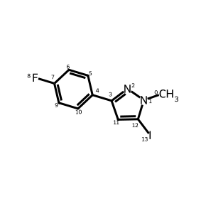 Cn1nc(-c2ccc(F)cc2)cc1I